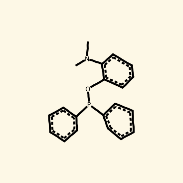 CN(C)c1ccccc1OP(c1ccccc1)c1ccccc1